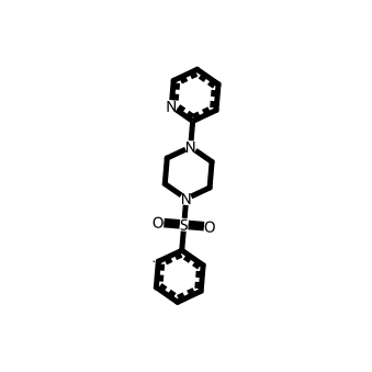 O=S(=O)(c1[c]cccc1)N1CCN(c2ccccn2)CC1